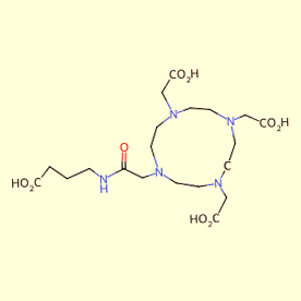 O=C(O)CCCNC(=O)CN1CCN(CC(=O)O)CCN(CC(=O)O)CCN(CC(=O)O)CC1